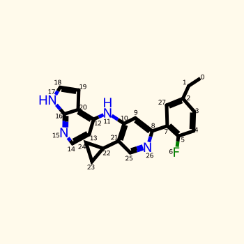 CCc1ccc(F)c(-c2cc(Nc3ccnc4[nH]ccc34)c(C3CC3)cn2)c1